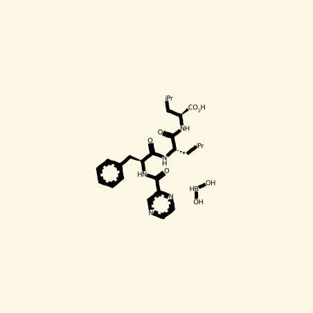 CC(C)C[C@H](NC(=O)[C@H](CC(C)C)NC(=O)[C@H](Cc1ccccc1)NC(=O)c1cnccn1)C(=O)O.OBO